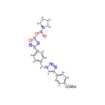 COc1ccc(-c2cn(Cc3ccc(-c4noc(OC(=O)N5CCCC5)n4)cc3)nn2)cc1